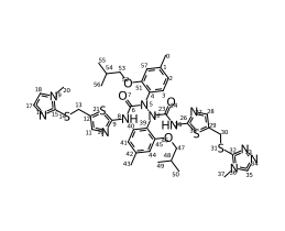 Cc1ccc(N(C(=O)Nc2ncc(CSc3nccn3C)s2)N(C(=O)Nc2ncc(CSc3nncn3C)s2)c2ccc(C)cc2OCC(C)C)c(OCC(C)C)c1